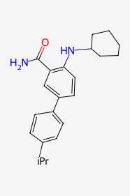 CC(C)c1ccc(-c2ccc(NC3CCCCC3)c(C(N)=O)c2)cc1